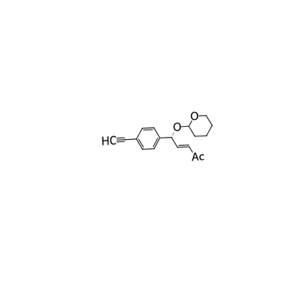 C#Cc1ccc([C@@H](/C=C/C(C)=O)OC2CCCCO2)cc1